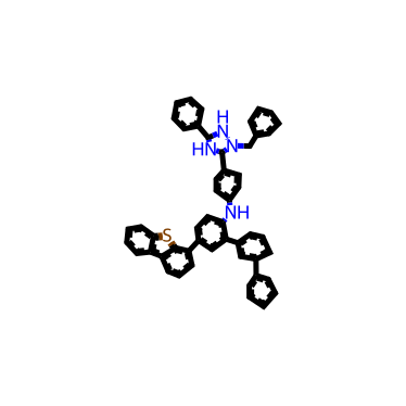 c1ccc(CN2NC(c3ccccc3)NC2c2ccc(Nc3ccc(-c4cccc5c4sc4ccccc45)cc3-c3cccc(-c4ccccc4)c3)cc2)cc1